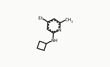 CCc1cc(C)nc(NC2CCC2)c1